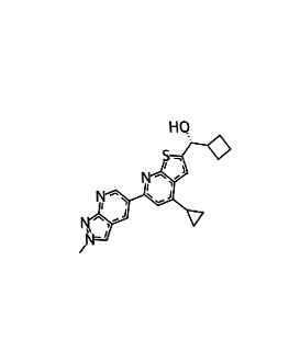 Cn1cc2cc(-c3cc(C4CC4)c4cc([C@H](O)C5CCC5)sc4n3)cnc2n1